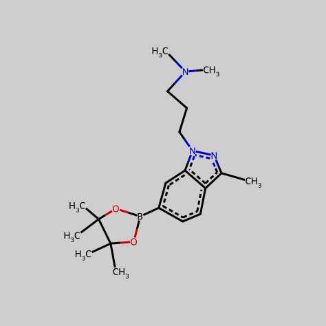 Cc1nn(CCCN(C)C)c2cc(B3OC(C)(C)C(C)(C)O3)ccc12